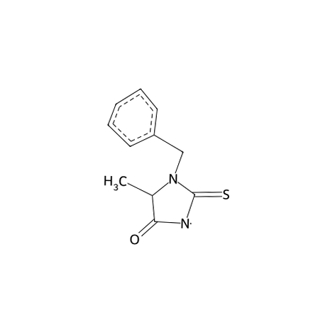 CC1C(=O)[N]C(=S)N1Cc1ccccc1